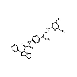 Cc1cc(C)nc(NCCN(C)c2ccc(NC(=O)C(=O)c3c(-c4ccccc4)cc4n3CCC4)cc2)c1